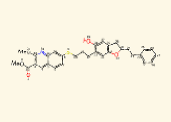 COC(=O)c1cc2ccc(SCCCc3cc4c(cc3O)CC(CCc3ccccc3)O4)cc2nc1OC